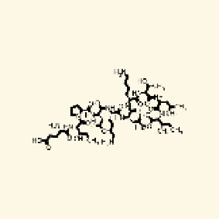 CC[C@H](C)[C@H](NC(=O)[C@H](CC(C)C)NC(=O)[C@@H](NC(=O)[C@H](CCCCN)NC(=O)[C@H](CC(=O)O)NC(=O)[C@H](CCCCN)NC(=O)[C@H](CC(C)C)NC(=O)[C@@H]1CCCN1C(=O)[C@@H](NC(=O)[C@@H](N)CCC(=O)O)[C@@H](C)CC)[C@@H](C)O)C(=O)O